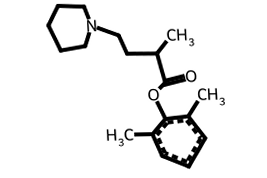 Cc1cccc(C)c1OC(=O)C(C)CCN1CCCCC1